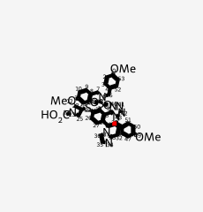 COc1ccc(CN(Cc2ccc(OC)cc2)S(=O)(=O)c2c(SC3CN(C(=O)O)C3)ccc(-c3cccc4nccn34)c2-c2nnnn2Cc2ccc(OC)cc2)cc1